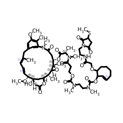 COc1cc2cc(c1Cl)N(C)C(=O)C[C@H](OC(=O)[C@H](C)N(C)C(=O)CCOC(=O)N(C)CCN(C)C(=O)OC1/C=C/CCCCC1OCC(=O)NCCN1C(=O)CC(SC)C1=O)[C@]1(C)O[C@H]1[C@H](C)[C@@H]1C[C@@](O)(NC(=O)O1)[C@H](OC)/C=C/C=C(\C)C2